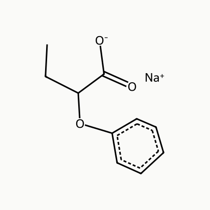 CCC(Oc1ccccc1)C(=O)[O-].[Na+]